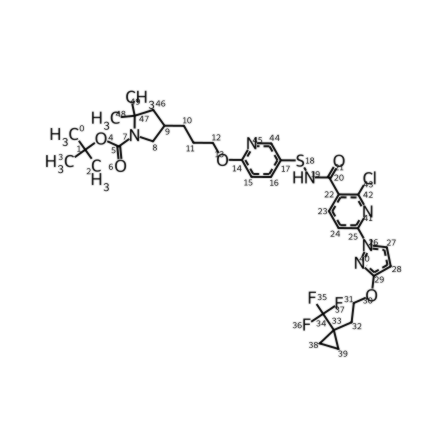 CC(C)(C)OC(=O)N1CC(CCCOc2ccc(SNC(=O)c3ccc(-n4ccc(OCCC5(C(F)(F)F)CC5)n4)nc3Cl)cn2)CC1(C)C